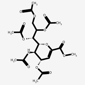 COC(=O)C1=C[C@H](OC(C)=O)[C@@H](NC(C)=O)[C@H]([C@H](OC(C)=O)C(COC(C)=O)OC(C)=O)O1